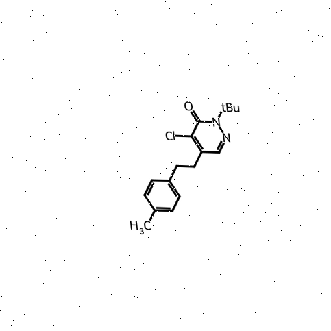 Cc1ccc(CCc2cnn(C(C)(C)C)c(=O)c2Cl)cc1